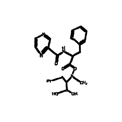 CC(C)CC(B(O)O)N(C)OC(=O)C(Cc1ccccc1)NC(=O)c1cnccn1